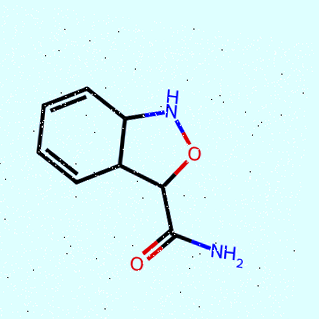 NC(=O)C1ONC2C=CC=CC21